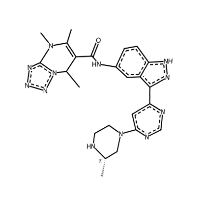 CC1=C(C(=O)Nc2ccc3[nH]nc(-c4cc(N5CCN[C@@H](C)C5)ncn4)c3c2)C(C)n2nnnc2N1C